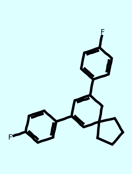 Fc1ccc(C2=CC3(CCCC3)CC(c3ccc(F)cc3)=C2)cc1